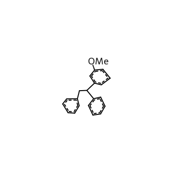 COc1cccc(C(Cc2ccccc2)c2ccccc2)c1